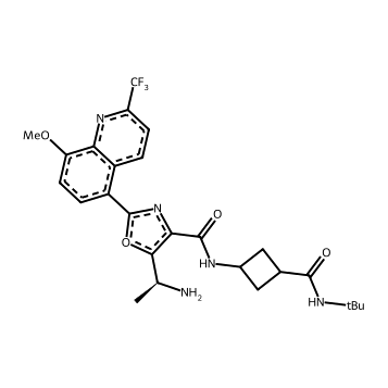 COc1ccc(-c2nc(C(=O)NC3CC(C(=O)NC(C)(C)C)C3)c([C@H](C)N)o2)c2ccc(C(F)(F)F)nc12